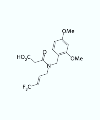 COc1ccc(CN(CC=CC(F)(F)F)C(=O)CC(=O)O)c(OC)c1